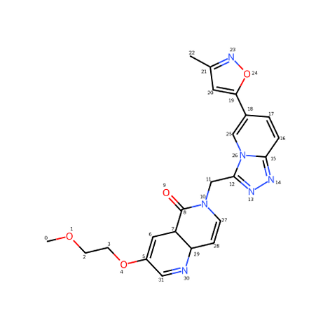 COCCOC1=CC2C(=O)N(Cc3nnc4ccc(-c5cc(C)no5)cn34)C=CC2N=C1